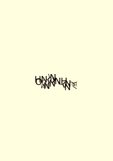 CC[C@H](C)Cn1cc(CNc2nc(C)c3c(n2)N(C)[C@@H](C)C(=O)N3)cn1